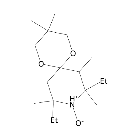 CCC1(C)CC2(OCC(C)(C)CO2)C(C)C(C)(CC)[NH+]1[O-]